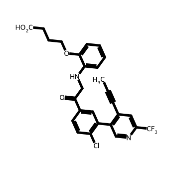 CC#Cc1cc(C(F)(F)F)ncc1-c1cc(C(=O)CNc2ccccc2OCCCC(=O)O)ccc1Cl